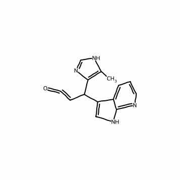 Cc1[nH]cnc1C(C=C=O)c1c[nH]c2ncccc12